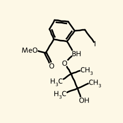 COC(=O)c1cccc(CI)c1BOC(C)(C)C(C)(C)O